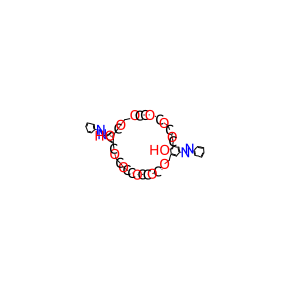 Oc1c2cc(/N=N/c3ccccc3)cc1COCCOCCOCCOCCOCc1cc(/N=N/c3ccccc3)cc(c1O)COCCOCCOCCOCCOC2